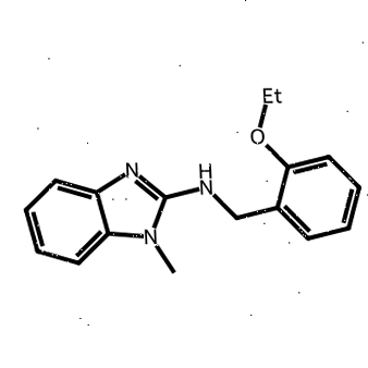 CCOc1ccccc1CNc1nc2ccccc2n1C